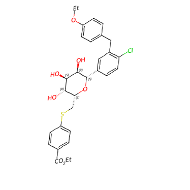 CCOC(=O)c1ccc(SC[C@H]2O[C@@H](c3ccc(Cl)c(Cc4ccc(OCC)cc4)c3)[C@H](O)[C@H](O)[C@H]2O)cc1